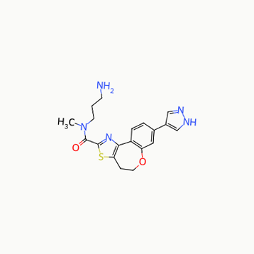 CN(CCCN)C(=O)c1nc2c(s1)CCOc1cc(-c3cn[nH]c3)ccc1-2